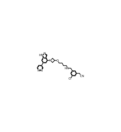 N#CCc1cc(Cl)cc(CNCCCCOC2CN(c3cc(-c4ccnnc4)cc4[nH]ncc34)C2)c1